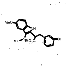 CCOC(=O)C(Cc1cccc(Br)c1)c1[nH]c2ccc(OC)cc2c1SC(C)(C)C